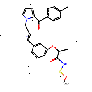 COOSNC(=O)[C@H](C)Oc1cccc(/C=C/Cn2cccc2C(=O)c2ccc(C)cc2)c1